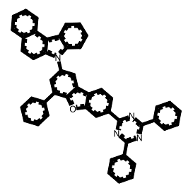 c1ccc(-c2nc(-c3ccccc3)nc(-c3ccc4c(c3)oc3c(-c5ccccc5)cc(-n5c6ccccc6c6c7ccccc7ccc65)cc34)n2)cc1